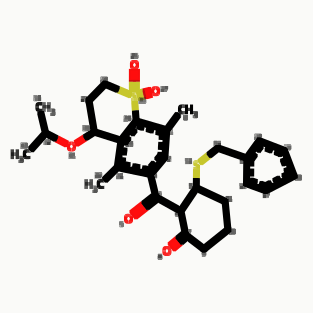 Cc1cc(C(=O)C2C(=O)CCCC2SCc2ccccc2)c(C)c2c1S(=O)(=O)CCC2OC(C)C